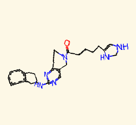 O=C(CCCCC1=CNCN1)N1CCc2nc(NC3Cc4ccccc4C3)ncc2C1